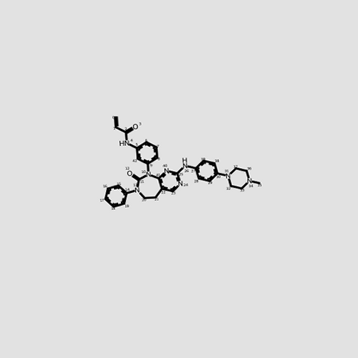 C=CC(=O)Nc1cccc(N2C(=O)N(c3ccccc3)CCc3cnc(Nc4ccc(N5CCN(C)CC5)cc4)nc32)c1